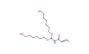 C=CC(=O)NN(OCCCCCCO)OCCCCCCO